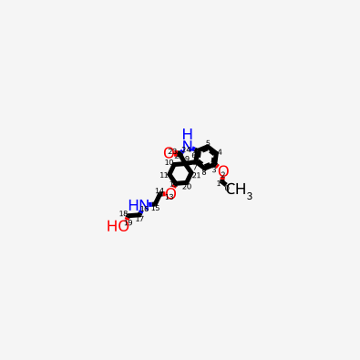 CCOc1ccc2c(c1)C1(CCC(OCCNCCO)CC1)C(=O)N2